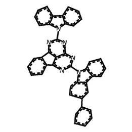 c1ccc(-c2ccc3c(c2)c2ccccc2n3-c2nc3c4c(nc(-n5c6ccccc6c6ccccc65)nc4n2)-c2ccccc2-3)cc1